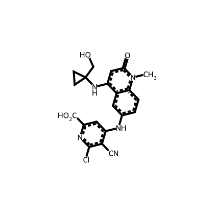 Cn1c(=O)cc(NC2(CO)CC2)c2cc(Nc3cc(C(=O)O)nc(Cl)c3C#N)ccc21